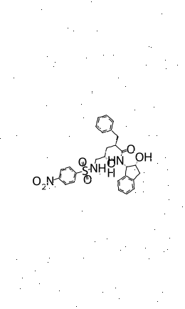 O=C(N[C@H]1c2ccccc2C[C@H]1O)[C@H](Cc1ccccc1)C[C@H](O)CNS(=O)(=O)c1ccc([N+](=O)[O-])cc1